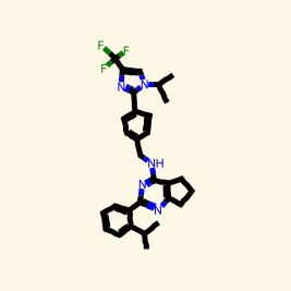 CC(C)c1ccccc1-c1nc2c(c(NCc3ccc(-c4nc(C(F)(F)F)cn4C(C)C)cc3)n1)CCC2